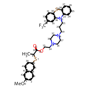 COc1ccc2cc(SC(C)C(=O)OCCN3CCN(CCCN4c5ccccc5Sc5ccc(C(F)(F)F)cc54)CC3)ccc2c1